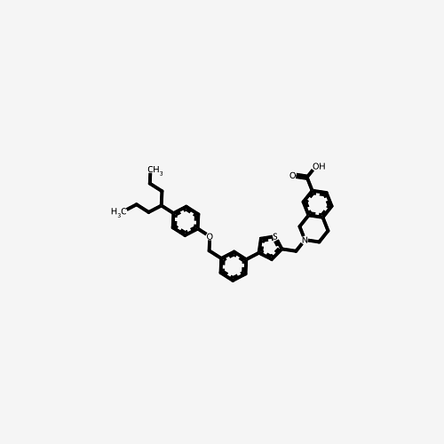 CCCC(CCC)c1ccc(OCc2cccc(-c3csc(CN4CCc5ccc(C(=O)O)cc5C4)c3)c2)cc1